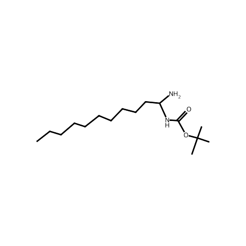 CCCCCCCCCCC(N)NC(=O)OC(C)(C)C